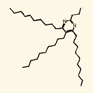 [CH2]CCc1nc(CCCCCCCCCC)c(CCCCCCCCCC)c(CCCCCCCCCC)n1